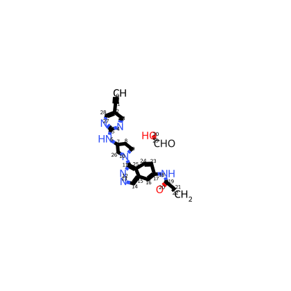 C#Cc1cnc(NC2CCN(c3nncc4cc(NC(=O)C=C)ccc34)C2)nc1.O=CO